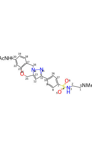 CNCCNS(=O)(=O)c1ccc(-c2cc3n(n2)Cc2ccc(NC(C)=O)cc2OC3)cc1